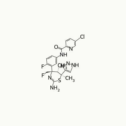 C[C@H]1[C@@](CF)(c2cc(NC(=O)c3ccc(Cl)cn3)ccc2F)N=C(N)S[C@]1(C)c1c[nH]nn1